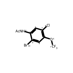 CC(=O)Nc1cc(Cl)c(OC(F)(F)F)cc1Br